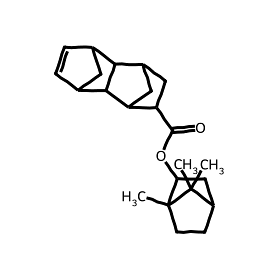 CC1(C)C2CCC1(C)C(OC(=O)C1CC3CC1C1C4C=CC(C4)C31)C2